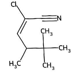 CC(/C=C(/Cl)C#N)C(C)(C)C